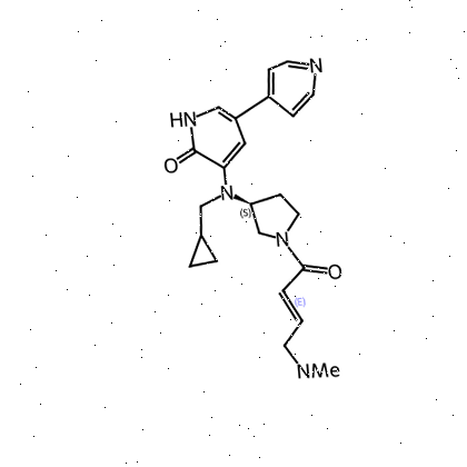 CNC/C=C/C(=O)N1CC[C@H](N(CC2CC2)c2cc(-c3ccncc3)c[nH]c2=O)C1